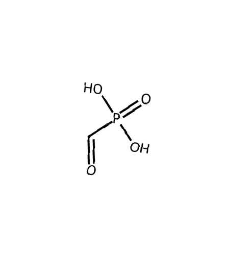 O=CP(=O)(O)O